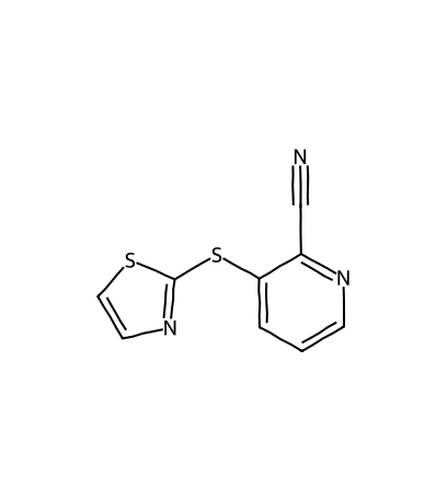 N#Cc1ncccc1Sc1nccs1